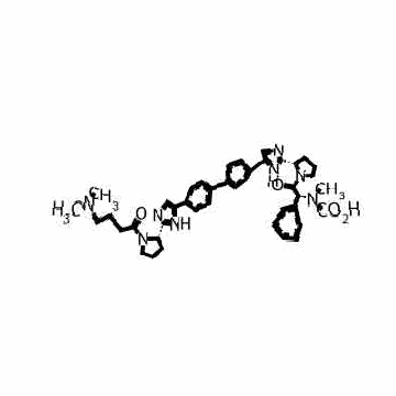 CN(C)CCCC(=O)N1CCC[C@H]1c1ncc(-c2ccc(-c3ccc(-c4cnc([C@@H]5CCCN5C(=O)[C@@H](c5ccccc5)N(C)C(=O)O)[nH]4)cc3)cc2)[nH]1